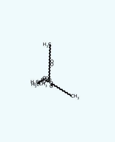 CCCCCCCCCCCCCCCC(=O)OC[C@H](COP(=O)([O-])OCC[N+](C)(C)C)OC(=O)CCCCCCCCC(=O)CC(=O)CCCCCCCCCCC